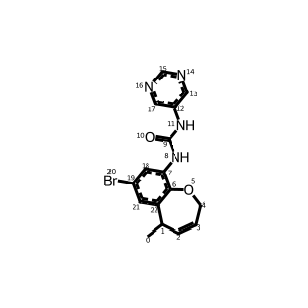 CC1C=CCOc2c(NC(=O)Nc3cncnc3)cc(Br)cc21